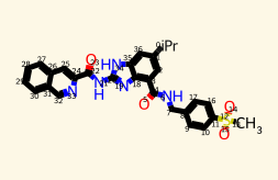 CC(C)c1cc(C(=O)NCc2ccc(S(C)(=O)=O)cc2)c2nc(NC(=O)c3cc4ccccc4cn3)[nH]c2c1